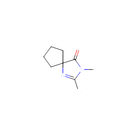 CCN1C(=O)C2(CCCC2)N=C1C